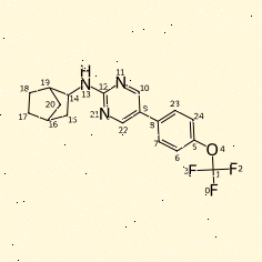 FC(F)(F)Oc1ccc(-c2cnc(NC3CC4CCC3C4)nc2)cc1